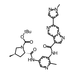 Cc1ncc(NC(=O)[C@@H]2C[C@@H](C)CN2C(=O)OC(C)(C)C)cc1NC(=O)c1cnn2cc(-c3cnn(C)c3)ncc12